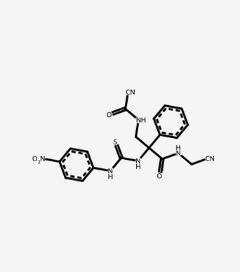 N#CCNC(=O)C(CNC(=O)C#N)(NC(=S)Nc1ccc([N+](=O)[O-])cc1)c1ccccc1